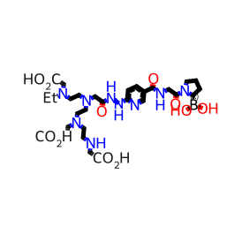 CCN(CCN(CCN(CCNCC(=O)O)CC(=O)O)CC(=O)NNc1ccc(C(=O)NCC(=O)N2CCC[C@H]2B(O)O)cn1)CC(=O)O